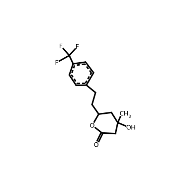 CC1(O)CC(=O)OC(CCc2ccc(C(F)(F)F)cc2)C1